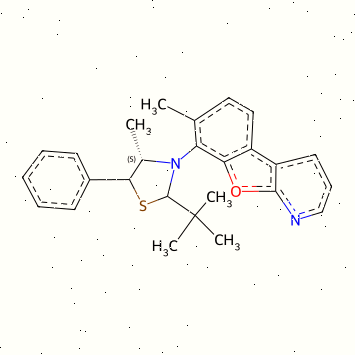 Cc1ccc2c(oc3ncccc32)c1N1C(C(C)(C)C)SC(c2ccccc2)[C@@H]1C